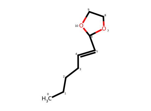 CCCCC=CC1OCCO1